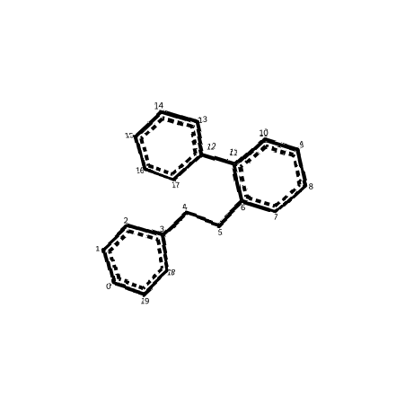 c1ccc(CCc2ccccc2-c2ccccc2)cc1